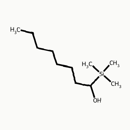 CCCCCCCC(O)[Si](C)(C)C